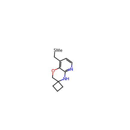 CSCc1ccnc2c1OCC1(CCC1)N2